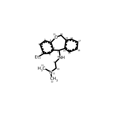 CCc1ccc2c(c1)C(NCCN(C)C)c1ccccc1CO2